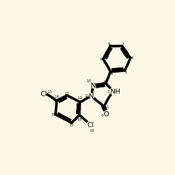 O=c1[nH]c(-c2ccccc2)nn1-c1cc(Cl)ccc1Cl